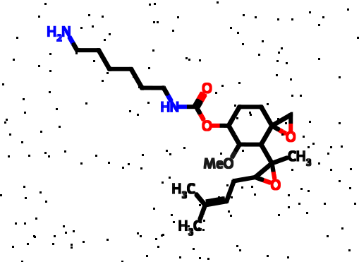 COC1C(OC(=O)NCCCCCCN)CCC2(CO2)C1C1(C)OC1CC=C(C)C